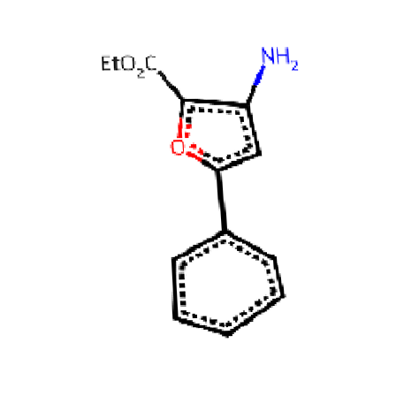 CCOC(=O)c1oc(-c2ccccc2)cc1N